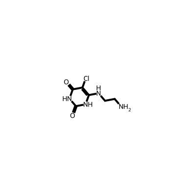 NCCNc1[nH]c(=O)[nH]c(=O)c1Cl